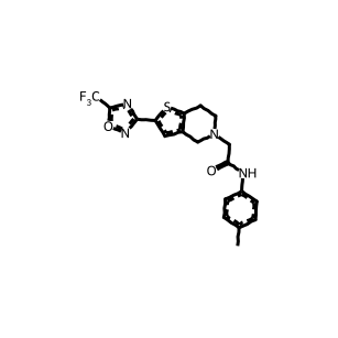 Cc1ccc(NC(=O)CN2CCc3sc(-c4noc(C(F)(F)F)n4)cc3C2)cc1